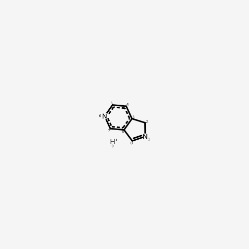 C1=NCc2ccncc21.[H+]